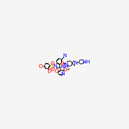 CCOc1ncccc1C1(NC(=O)N2CCC3(CC2)CN(C2CCNCC2)C3)C(=O)N(S(=O)(=O)c2ccc(OC)cc2OC)c2ccc(C#N)cc21